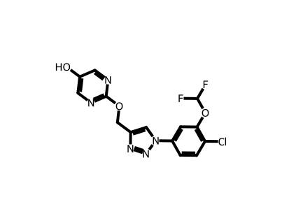 Oc1cnc(OCc2cn(-c3ccc(Cl)c(OC(F)F)c3)nn2)nc1